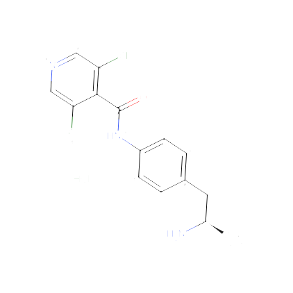 Cl.N[C@@H](Cc1ccc(NC(=O)c2c(Cl)cncc2Cl)cc1)C(=O)O